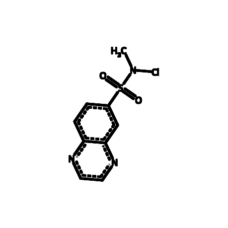 CN(Cl)S(=O)(=O)c1ccc2nccnc2c1